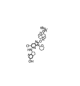 CC(C)(C)[Si](C)(C)OC1CO[C@H]2[C@@H]1OC[C@H]2Oc1nc2cc(Cl)c(NC3CCc4cc(O)cnc43)nc2n1C1CCCCO1